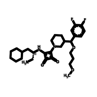 COCCCOC(c1ccc(F)c(F)c1)C1CCCN(c2c(N[C@H](CN)CC3CCCCC3)c(=O)c2=O)C1